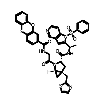 C[C@@H](NC(=O)[C@@H]1C[C@]2(Cc3nccs3)C[C@@H]2N1C(=O)CNC(=O)c1ccc2c(c1)Oc1ccccc1S2)c1cc2cnccc2n1S(=O)(=O)c1ccccc1